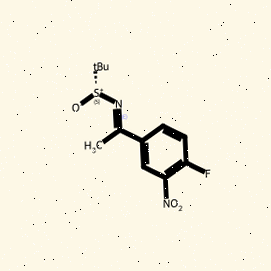 C/C(=N\[S@+]([O-])C(C)(C)C)c1ccc(F)c([N+](=O)[O-])c1